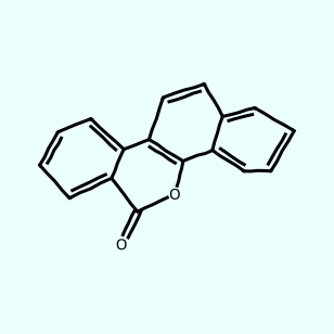 O=c1oc2c3ccccc3ccc2c2ccccc12